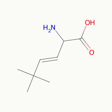 CC(C)(C)C=CC(N)C(=O)O